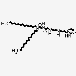 CCCCCCCCCCCCCCN(CCCCCCCCCCCCCC)C(=O)CNC(=O)CNCCCNCCCCN1CCCNC1=N